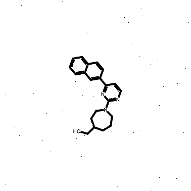 OCC1CCCN(c2nccc(-c3ccc4ccccc4c3)n2)CC1